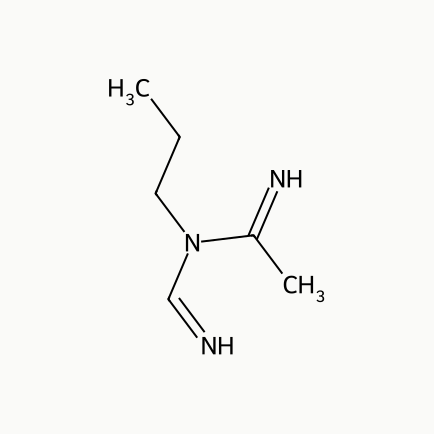 CCCN(C=N)C(C)=N